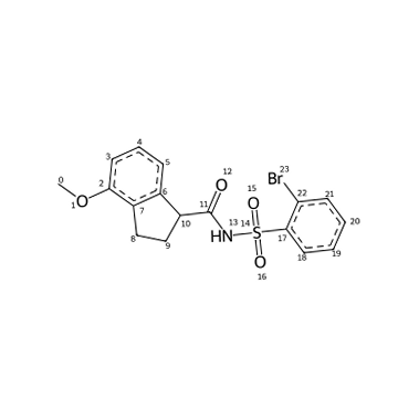 COc1cccc2c1CCC2C(=O)NS(=O)(=O)c1ccccc1Br